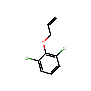 C=CCOc1c(Cl)[c]ccc1Cl